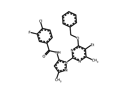 CCc1c(C)nc(-n2nc(C)cc2NC(=O)c2ccc(Cl)c(F)c2)nc1OCc1ccccc1